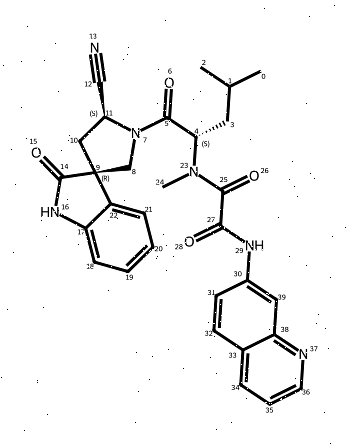 CC(C)C[C@@H](C(=O)N1C[C@]2(C[C@H]1C#N)C(=O)Nc1ccccc12)N(C)C(=O)C(=O)Nc1ccc2cccnc2c1